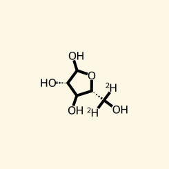 [2H]C([2H])(O)[C@H]1OC(O)[C@@H](O)C1O